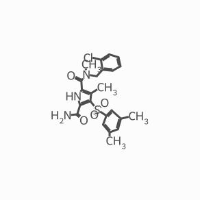 Cc1cc(C)cc(S(=O)(=O)c2c(C(N)=O)[nH]c(C(=O)N(C)Cc3ccccc3Cl)c2C)c1